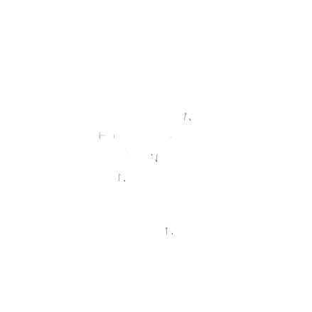 Cc1nc2cnccc2n1C1CC2CCC(C1)N2Cc1ccccc1